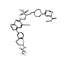 CNC(=O)c1cc(N2CCC(CCN(COc3cc4ncnc(-c5ccc6c(c5)CCC(NS(N)(=O)=O)C6)c4cc3OC)S(N)(=O)=O)CC2)ncn1